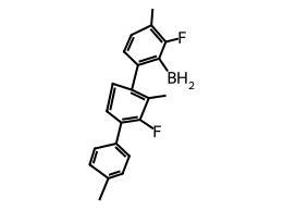 Bc1c(-c2ccc(-c3ccc(C)cc3)c(F)c2C)ccc(C)c1F